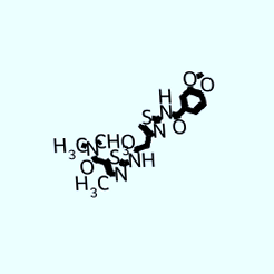 Cc1nc(NC(=O)Cc2csc(NC(=O)c3ccc4c(c3)OCO4)n2)sc1C(=O)N(C)C